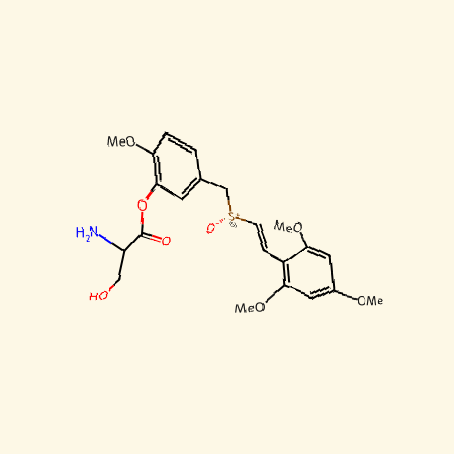 COc1cc(OC)c(C=C[S@+]([O-])Cc2ccc(OC)c(OC(=O)C(N)CO)c2)c(OC)c1